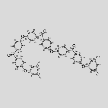 Cc1cc(C)cc(Oc2ccc(C(=O)c3ccc(Oc4ccc(C(=O)c5ccc(Oc6ccc(C(=O)c7ccc(Oc8cc(C)cc(C)c8)cc7)cc6)cc5)cc4)cc3)cc2)c1